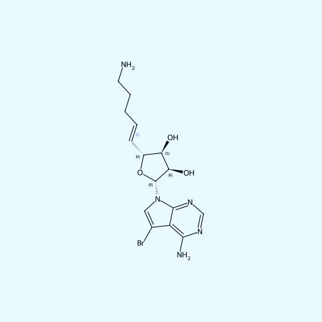 NCCC/C=C/[C@H]1O[C@@H](n2cc(Br)c3c(N)ncnc32)[C@H](O)[C@@H]1O